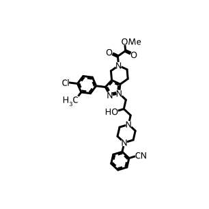 COC(=O)C(=O)N1CCc2c(c(-c3ccc(Cl)c(C)c3)nn2CC(O)CN2CCN(c3ccccc3C#N)CC2)C1